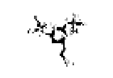 CCCc1cc(OP(N)(N)=S)nc(SP(N)(N)=S)n1